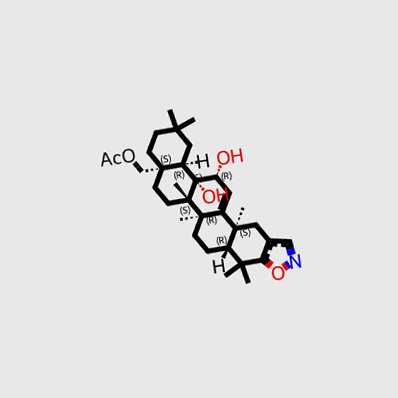 CC(=O)OC[C@]12CCC(C)(C)C[C@H]1[C@@]1(O)[C@H](O)C=C3[C@@]4(C)Cc5cnoc5C(C)(C)[C@@H]4CC[C@@]3(C)[C@]1(C)CC2